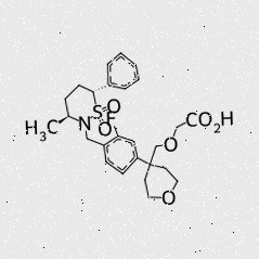 C[C@H]1CC[C@H](c2ccccc2)S(=O)(=O)N1Cc1ccc(C2(COCC(=O)O)CCOCC2)cc1F